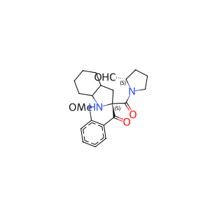 COc1ccccc1C(=O)[C@]1(C(=O)N2CCC[C@H]2C=O)CC2CCCCC2N1